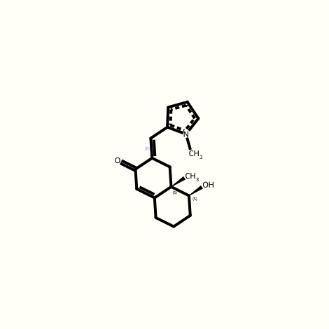 Cn1cccc1/C=C1\C[C@@]2(C)C(=CC1=O)CCC[C@@H]2O